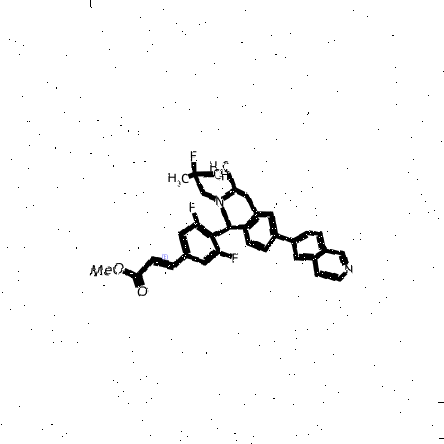 COC(=O)/C=C/c1cc(F)c(C2c3ccc(-c4ccc5cnccc5c4)cc3CC(C)N2CC(C)(C)F)c(F)c1